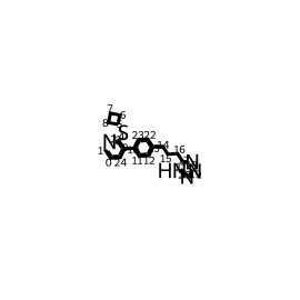 c1cnc(SC2CCC2)c(-c2ccc(CCCc3nnn[nH]3)cc2)c1